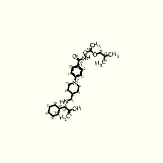 C=C(O)[C@@H](NCC1CCN(c2ccc(C(=O)NOC(C)OCC(C)C)cc2)CC1)C1CCCCC1